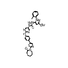 Cc1ccccc1-n1nc(C(C)(C)C)cc1NC(=O)Nc1cnc(Oc2ccc(-c3cnc(N4CCCCCC4=O)s3)cc2)nc1